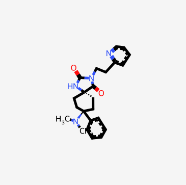 CN(C)[C@]1(c2ccccc2)CC[C@]2(CC1)NC(=O)N(CCc1ccccn1)C2=O